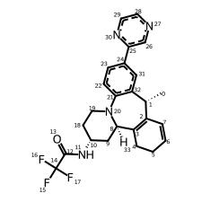 C[C@@H]1C2=C(CCC=C2)[C@H]2C[C@H](NC(=O)C(F)(F)F)CCN2c2ccc(-c3cnccn3)cc21